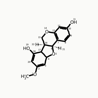 COC1=CC2O[C@@H]3c4ccc(O)cc4OC[C@@H]3C2C(O)=C1